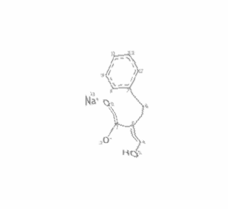 O=C([O-])C(=CO)Cc1ccccc1.[Na+]